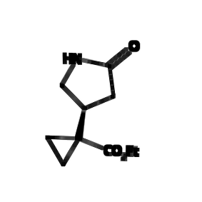 CCOC(=O)C1([C@H]2CNC(=O)C2)CC1